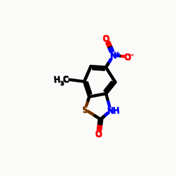 Cc1cc([N+](=O)[O-])cc2[nH]c(=O)sc12